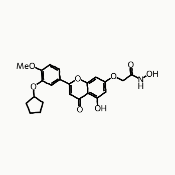 COc1ccc(-c2cc(=O)c3c(O)cc(OCC(=O)NO)cc3o2)cc1OC1CCCC1